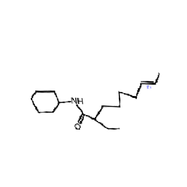 C/C=C/CCCCC(CC)C(=O)NC1CCCCC1